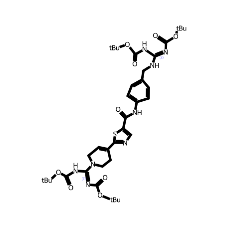 CC(C)(C)OC(=O)/N=C(/NCc1ccc(NC(=O)c2cnc(C3=CCN(/C(=N\C(=O)OC(C)(C)C)NC(=O)OC(C)(C)C)CC3)s2)cc1)NC(=O)OC(C)(C)C